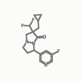 O=C1N2C(c3cncc(F)c3)CCN2CC1(CC1CC1)C(F)F